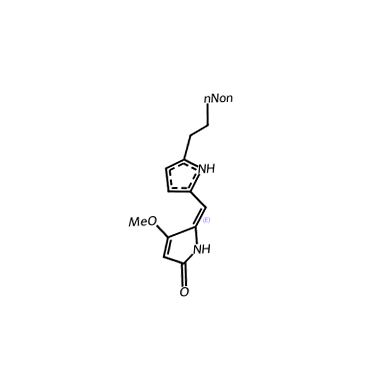 CCCCCCCCCCCc1ccc(/C=C2/NC(=O)C=C2OC)[nH]1